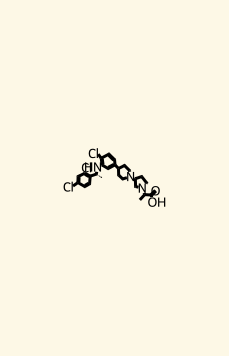 CC(C(=O)O)N1CCC(N2CCC(c3ccc(Cl)c(N[C@H](C)c4ccc(Cl)cc4Cl)c3)CC2)C1